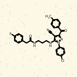 Cc1ccc(C(=O)c2nn(-c3ccc(Cl)cc3)c(NCCCNC(=O)Cc3ccc(F)cc3)c2C#N)cc1